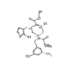 CC[C@@H]1C[C@H](N(Cc2cc(Cl)cc(C(F)(F)F)c2)C(=O)OC)C[C@H](Cc2ccnn2CC)N1C(=O)OC(C)C